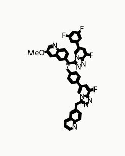 COc1cnc2ccc([C@@H](Cc3ccc(-c4cc(F)c5nnc(Cc6ccc7ncccc7c6)n5c4)cc3)c3nnc4c(F)cc(-c5cc(F)cc(F)c5)cn34)cc2c1